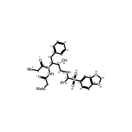 CNCC(=O)NN(C(=O)CC(C)(C)C)C(Cc1ccccc1)[C@H](O)CNC(C(C)C)S(=O)(=O)c1ccc2c(c1)OCO2